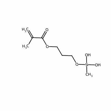 C=C(C)C(=O)OCCCO[Si](C)(O)O